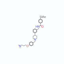 CSc1ccc(C(=O)NCc2cccc(C3CCN(Cc4ccc(OCCCN(C)C)cc4)CC3)c2)cc1